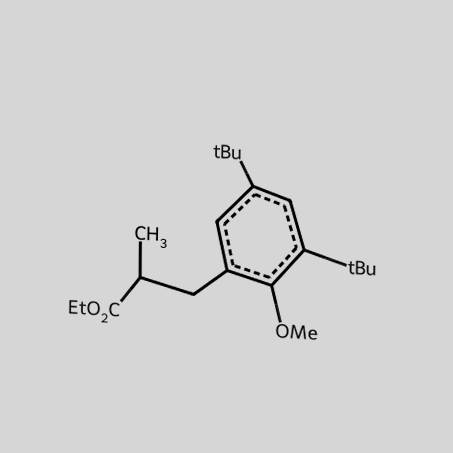 CCOC(=O)C(C)Cc1cc(C(C)(C)C)cc(C(C)(C)C)c1OC